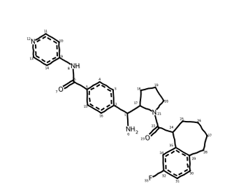 NC(c1ccc(C(=O)Nc2ccncc2)cc1)C1CCCN1C(=O)C1CCCCc2ccc(F)cc21